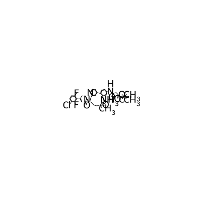 CC1CCCC(N2CCC(c3c(F)ccc(Cl)c3F)=CC2=O)c2cc(ccn2)-c2ccc(NC(=O)CC(=O)OC(C)(C)C)cc2NC1=O